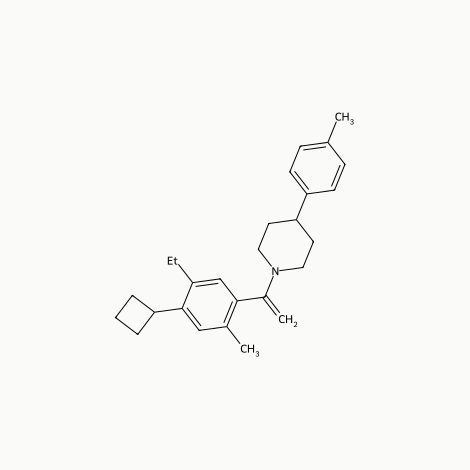 C=C(c1cc(CC)c(C2CCC2)cc1C)N1CCC(c2ccc(C)cc2)CC1